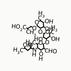 CC(O)CC(=O)N[C@@H]1C(C)O[C@@H](OC2[C@@H](O)C(C)O[C@@H](O[C@H]3C(O)[C@@H](O)C(C)O[C@H]3OCC(C)C(=O)O)[C@H]2O)C(C=O)[C@H]1O